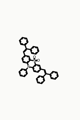 O=S1(=O)c2cc(C=C(c3ccccc3)c3ccccc3)ccc2N(c2ccccc2)c2ccc(C=C(c3ccccc3)c3ccccc3)cc21